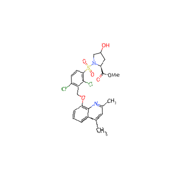 COC(=O)[C@@H]1CC(O)CN1S(=O)(=O)c1ccc(Cl)c(COc2cccc3c(C)cc(C)nc23)c1Cl